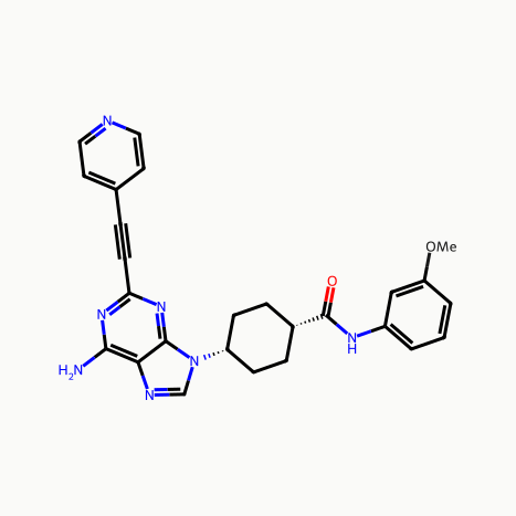 COc1cccc(NC(=O)[C@H]2CC[C@@H](n3cnc4c(N)nc(C#Cc5ccncc5)nc43)CC2)c1